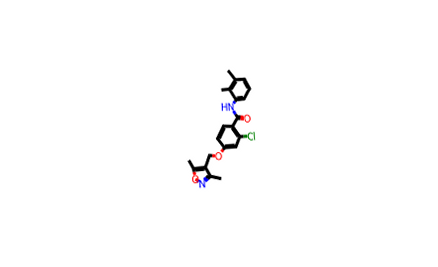 Cc1cccc(NC(=O)c2ccc(OCc3c(C)noc3C)cc2Cl)c1C